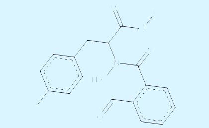 COC(=O)C(Cc1ccc(F)cc1)N(C)C(=O)c1ccccc1C=O